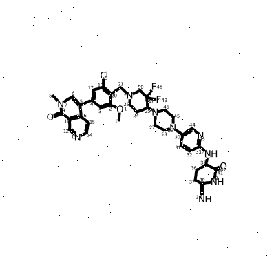 COc1cc(-c2cn(C)c(=O)c3cnccc23)cc(Cl)c1CN1CCC(N2CCN(c3ccc(NC4CCC(=N)NC4=O)nc3)CC2)C(F)(F)C1